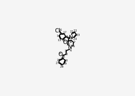 O=C(CCCN1CCCC2(C1)Oc1ccc(Cl)cc1C2n1cccc1)c1ccccc1